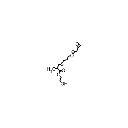 CC(CSCCCOOCC1CO1)C(=O)OCCO